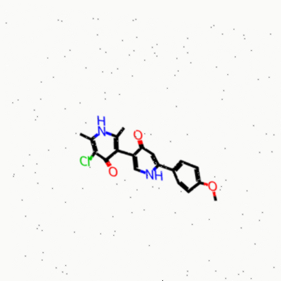 COc1ccc(-c2cc(=O)c(-c3c(C)[nH]c(C)c(Cl)c3=O)c[nH]2)cc1